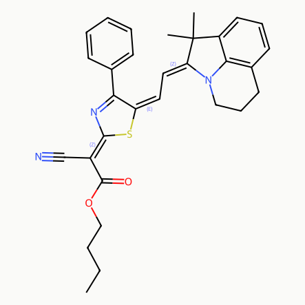 CCCCOC(=O)/C(C#N)=c1/nc(-c2ccccc2)/c(=C\C=C2/N3CCCc4cccc(c43)C2(C)C)s1